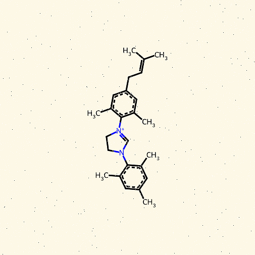 CC(C)=CCc1cc(C)c([N+]2=CN(c3c(C)cc(C)cc3C)CC2)c(C)c1